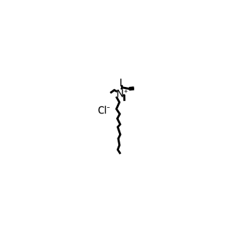 C#CC(I)[N+](CC)(CC)CCCCCCCCCCCC.[Cl-]